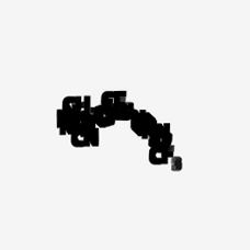 Cn1nnc2c(C#N)nc(-c3ccc(OCCN4CCN(c5cc(C(F)(F)F)ccn5)CC4)c(C(F)(F)F)c3)cc21